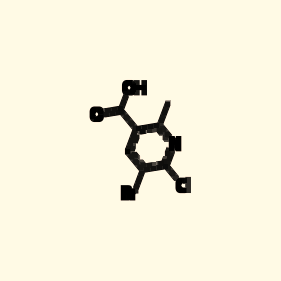 Cc1nc(Cl)c(Br)cc1C(=O)O